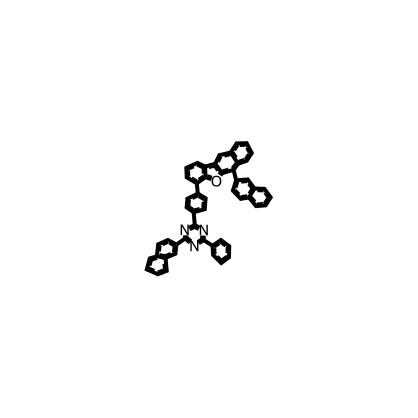 c1ccc(-c2nc(-c3ccc(-c4cccc5c4oc4c(-c6ccc7ccccc7c6)c6ccccc6cc45)cc3)nc(-c3ccc4ccccc4c3)n2)cc1